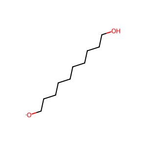 [O]CCCCCCCCCCO